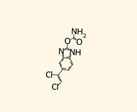 NC(=O)Oc1nc2cc(/C(Cl)=C/Cl)ccc2[nH]1